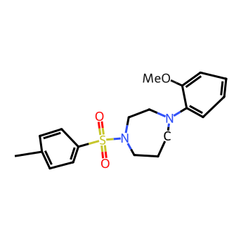 COc1ccccc1N1CCCN(S(=O)(=O)c2ccc(C)cc2)CC1